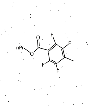 CCCOC(=O)c1c(F)c(F)c(C)c(F)c1F